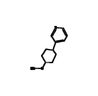 O=NOC1CCC(c2cccnc2)CC1